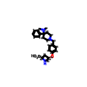 CN(C)C1(c2ccccc2)CCN(Cc2ccc(O[C@@H]3CN[C@H](C(=O)O)C3)cc2)CC1